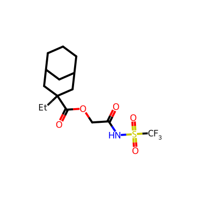 CCC1(C(=O)OCC(=O)NS(=O)(=O)C(F)(F)F)CC2CCCC(C2)C1